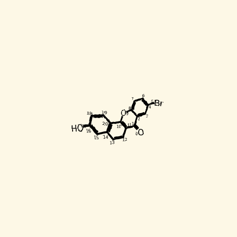 O=c1c2cc(Br)ccc2oc2c1ccc1cc(O)ccc12